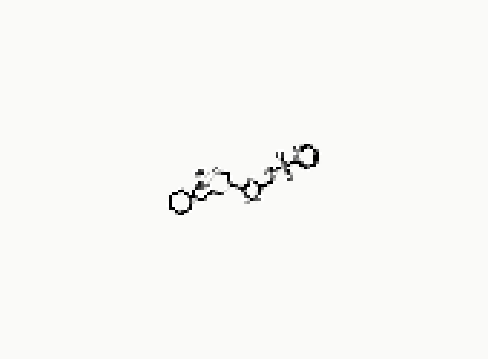 CC(C)(C)C1(CCC[C@H](CC(=O)O)c2nc(CNS(=O)(=O)c3ccccn3)no2)CCCCC1